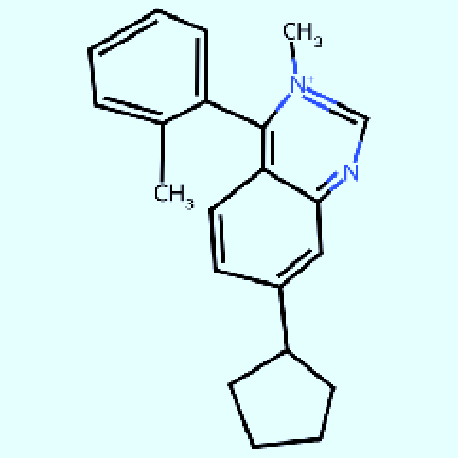 Cc1ccccc1-c1c2ccc(C3CCCC3)cc2nc[n+]1C